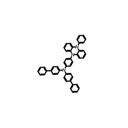 c1ccc(-c2ccc(N(c3ccc(-c4ccccc4)cc3)c3ccc(N4c5ccccc5N(c5ccccc5)c5ccccc54)cc3)cc2)cc1